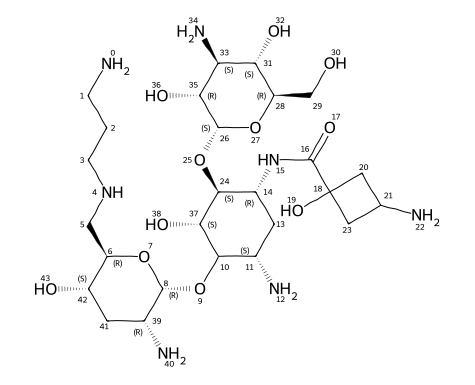 NCCCNC[C@H]1O[C@H](OC2[C@@H](N)C[C@@H](NC(=O)C3(O)CC(N)C3)[C@H](O[C@H]3O[C@H](CO)[C@@H](O)[C@H](N)[C@H]3O)[C@H]2O)[C@H](N)C[C@@H]1O